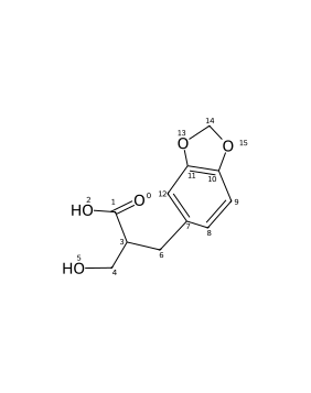 O=C(O)C(CO)Cc1ccc2c(c1)OCO2